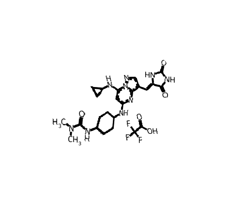 CN(C)C(=O)NC1CCC(Nc2cc(NC3CC3)n3ncc(C=C4NC(=O)NC4=O)c3n2)CC1.O=C(O)C(F)(F)F